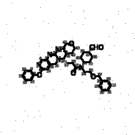 NC1=Nc2cnc(Oc3ccccc3)cc2CN1[C@@H](CCC(=O)N(CCOCc1ccccc1)[C@H]1CC[C@@H](C=O)CC1)C1CCOCC1